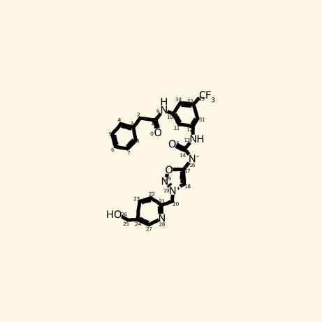 O=C(Cc1ccccc1)Nc1cc(NC(=O)[N-]c2c[n+](Cc3ccc(CO)cn3)no2)cc(C(F)(F)F)c1